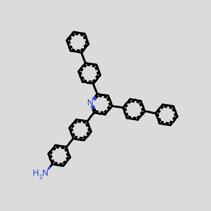 Nc1ccc(-c2ccc(-c3cc(-c4ccc(-c5ccccc5)cc4)cc(-c4ccc(-c5ccccc5)cc4)n3)cc2)cc1